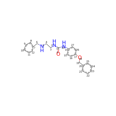 O=C(NCCNCc1ccccc1)Nc1ccc(OCc2ccccc2)cc1